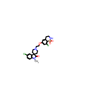 CN1C(=O)C2(CCN(CCOc3cc(F)c4c(c3)CCNS4(=O)=O)CC2)c2cc(Cl)ccc21